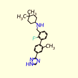 Cc1cc(-c2nc[nH]n2)ccc1-c1cccc(CNC2CCC(C)(C)CC2)c1F